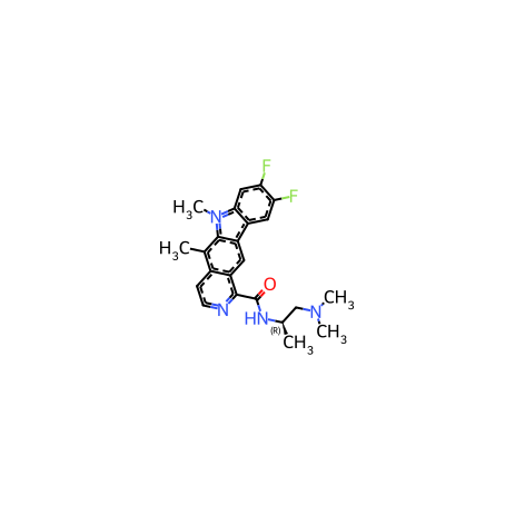 Cc1c2ccnc(C(=O)N[C@H](C)CN(C)C)c2cc2c3cc(F)c(F)cc3n(C)c12